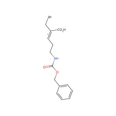 CC(C)C/C(=C/CCNC(=O)OCc1ccccc1)C(=O)O